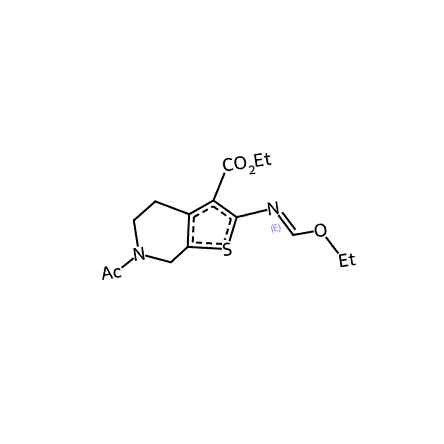 CCO/C=N/c1sc2c(c1C(=O)OCC)CCN(C(C)=O)C2